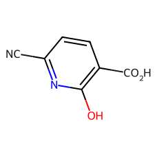 N#Cc1ccc(C(=O)O)c(O)n1